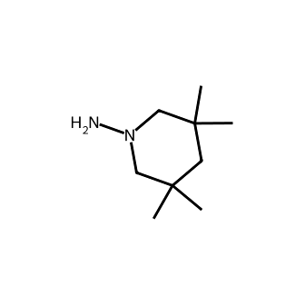 CC1(C)CN(N)CC(C)(C)C1